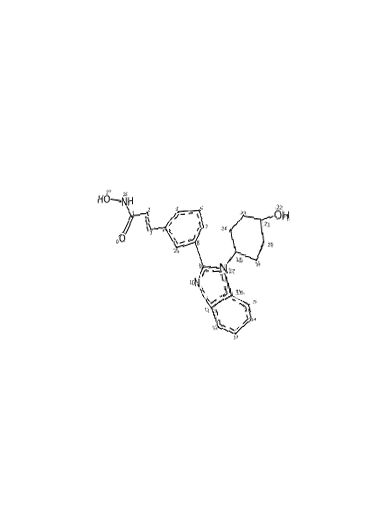 O=C(C=Cc1cccc(-c2nc3ccccc3n2C2CCC(O)CC2)c1)NO